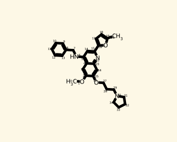 COc1cc2c(NCc3ccccc3)cc(-c3ccc(C)o3)nc2cc1OCCCN1CCCC1